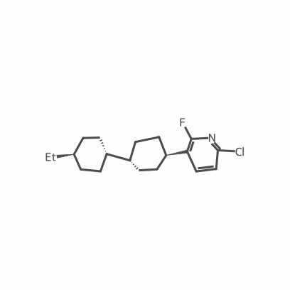 CC[C@H]1CC[C@H]([C@H]2CC[C@H](c3ccc(Cl)nc3F)CC2)CC1